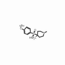 CCCCOc1ccc(S(=O)(=O)C2(C(=O)O)CCN(C)CC2)cc1